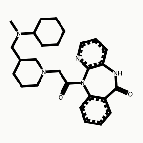 CN(CC1CCCN(CC(=O)N2c3ccccc3C(=O)Nc3cccnc32)C1)C1CCCCC1